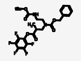 C[C@@H](CN(CCNC(=O)OC(C)(C)C)C(=O)OCc1ccccc1)C(=O)Oc1c(F)c(F)c(F)c(F)c1F